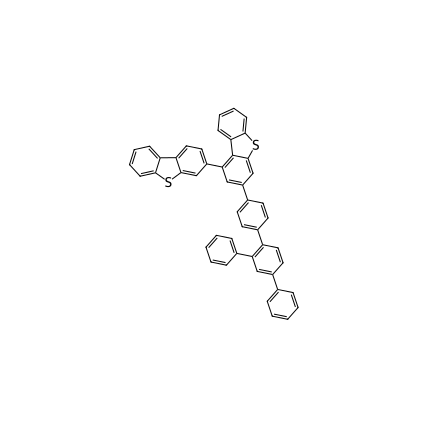 c1ccc(-c2ccc(-c3ccc(-c4cc(-c5ccc6c(c5)sc5ccccc56)c5c(c4)sc4ccccc45)cc3)c(-c3ccccc3)c2)cc1